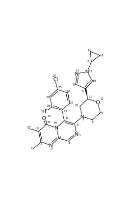 Cc1nc2cnc(N3CCO[C@H](c4cnn(C5CC5)c4)C3)c(-c3ccc(Cl)cc3F)n2c(=O)c1C